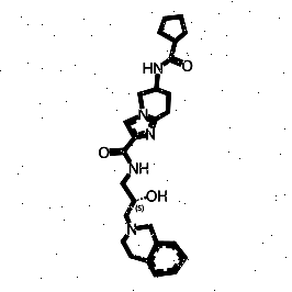 O=C(NC[C@H](O)CN1CCc2ccccc2C1)c1cn2c(n1)CCC(NC(=O)C1CCCC1)C2